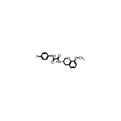 COc1cccc2c1OC[C@@H](NC(=O)C(=O)Nc1ccc(F)cc1)C2